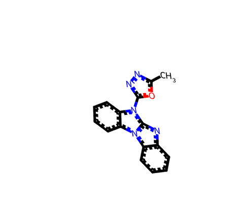 Cc1nnc(-n2c3ccccc3n3c4ccccc4nc23)o1